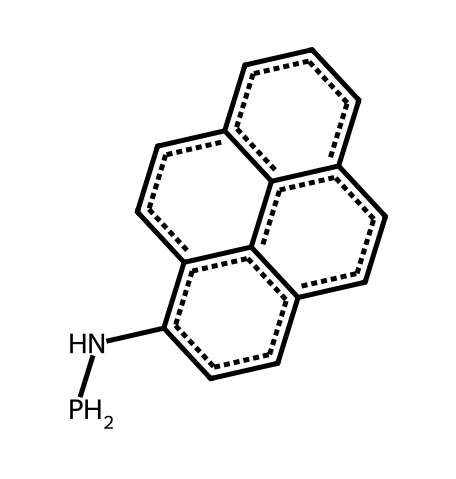 PNc1ccc2ccc3cccc4ccc1c2c34